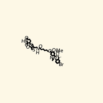 COc1cc2c(N[C@H](C)c3cccc(Br)c3)nc(C)nc2cc1OCCCCCC(=O)NCc1scc2c1CN(C1CCC(=O)NC1=O)C2=O